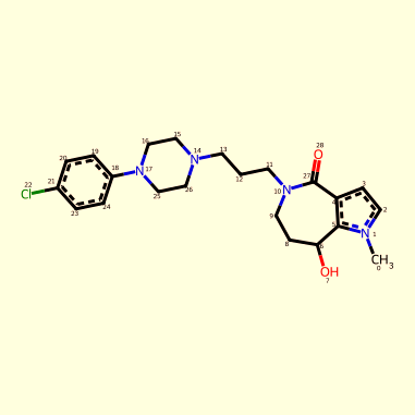 Cn1ccc2c1C(O)CCN(CCCN1CCN(c3ccc(Cl)cc3)CC1)C2=O